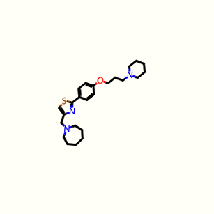 c1cc(-c2nc(CN3CCCCCC3)cs2)ccc1OCCCN1CCCCC1